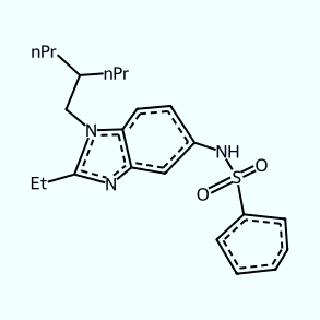 CCCC(CCC)Cn1c(CC)nc2cc(NS(=O)(=O)c3ccccc3)ccc21